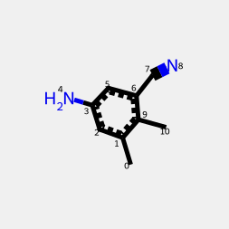 Cc1cc(N)cc(C#N)c1C